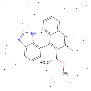 Cc1cc2ccccc2c(-c2cccc3nc[nH]c23)c1[C@H](OC(C)(C)C)C(=O)O